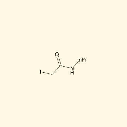 CCCNC(=O)CI